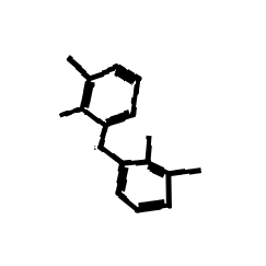 Cc1cccc([C]c2cccc(C)c2C)c1C